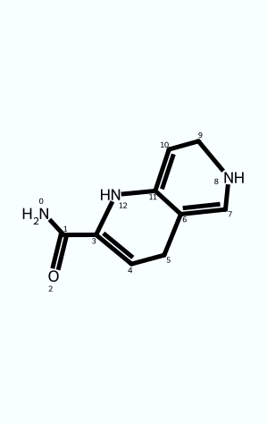 NC(=O)C1=CCC2=CNCC=C2N1